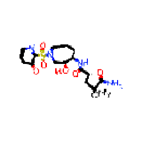 CC(C[CH]C(=O)NC1CCCN(S(=O)(=O)C2=NC=CCC2=O)C[C@@H]1O)C(N)=O